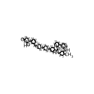 Cc1ccc(NC(=O)c2ccc(N3CCC(N4CCN(Cc5cccc(N6CCC(=O)NC6=O)c5)CC4)CC3)cc2)cc1Nc1nccc(-c2cccnc2)n1